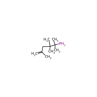 C=C(C)CC(C)(C)C(C)(C)P